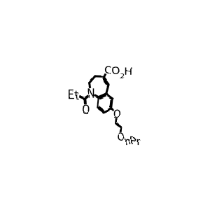 CCCOCCOc1ccc2c(c1)C=C(C(=O)O)CCN2C(=O)CC